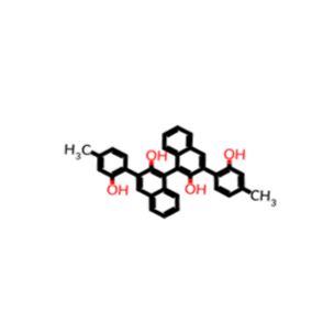 Cc1ccc(-c2cc3ccccc3c(-c3c(O)c(-c4ccc(C)cc4O)cc4ccccc34)c2O)c(O)c1